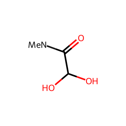 CNC(=O)C(O)O